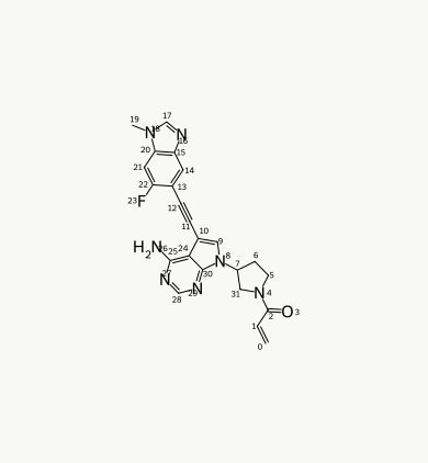 C=CC(=O)N1CCC(n2cc(C#Cc3cc4ncn(C)c4cc3F)c3c(N)ncnc32)C1